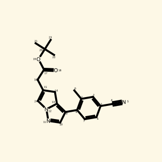 Cc1cc(C#N)ccc1-c1cnn2c1CC(CC(=O)OC(C)(C)C)=C2